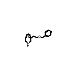 c1ccc(COCCC23CCC(CNC2)N3)cc1